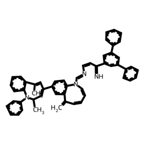 C=C1/C=C\C=C/N(/C=N/C=C\C(=N)c2cc(-c3ccccc3)cc(-c3ccccc3)c2)c2ccc(C3=C/C(C)N(c4ccccc4)c4ccccc4\C(C)=C\3)cc21